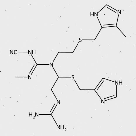 CN=C(NC#N)N(CCSCc1[nH]cnc1C)C(CN=C(N)N)SCc1c[nH]cn1